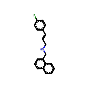 Fc1ccc(C=CCNCc2cccc3ccccc23)cc1